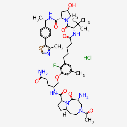 CC(=O)N1CC[C@H]2CC[C@@H](C(=O)N[C@@H](CCC(N)=O)COc3cc(C)cc(CCCCC(=O)N[C@H](C(=O)N4C[C@H](O)C[C@H]4C(=O)N[C@@H](C)c4ccc(-c5scnc5C)cc4)C(C)(C)C)c3F)N2C(=O)[C@@H](N)C1.Cl